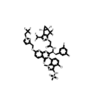 Cn1nc(NS(C)(=O)=O)c2c(Cl)ccc(-n3c([C@H](Cc4cc(F)cc(F)c4)NC(=O)Cn4nc(C(F)F)c5c4C(F)(F)[C@@H]4C[C@H]54)nc4nc(OCc5ccn(CC(F)(F)F)n5)ccc4c3=O)c21